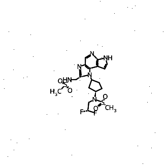 CS(=O)(=O)NCc1nc2cnc3[nH]ccc3c2n1[C@H]1CC[C@@H](N(CC(F)F)S(C)(=O)=O)C1